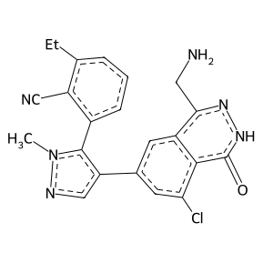 CCc1cccc(-c2c(-c3cc(Cl)c4c(=O)[nH]nc(CN)c4c3)cnn2C)c1C#N